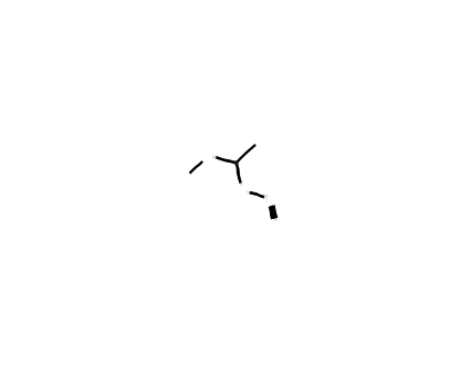 COC(C)OP=O